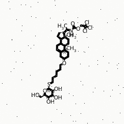 C[C@@H](NC(=O)OCC(Cl)(Cl)Cl)[C@H]1CCC2C3CC=C4C[C@@H](OCCCCCCS[C@@H]5O[C@H](CO)[C@@H](O)[C@H](O)[C@@H]5O)CC[C@]4(C)C3CC[C@@]21C